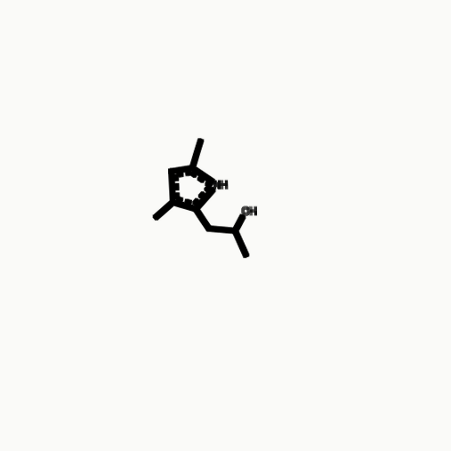 Cc1cc(C)c(CC(C)O)[nH]1